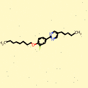 CCCCCCCCOc1ccc(-c2ncc(CCCCC)cn2)cc1F